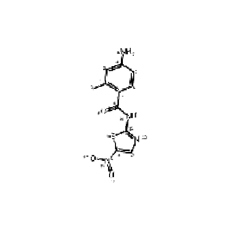 Cc1cc(N)ccc1C(=O)Nc1ncc([N+](=O)[O-])s1